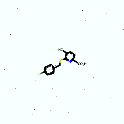 N#Cc1ccc(C(=O)O)nc1SCc1ccc(Cl)cc1